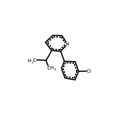 CC(C)c1cccnc1-c1cccc(Cl)c1